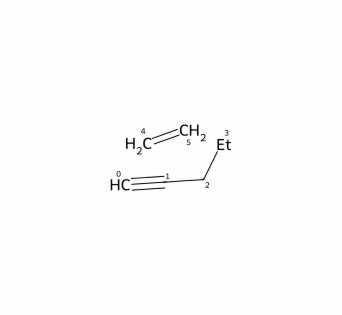 C#CCCC.C=C